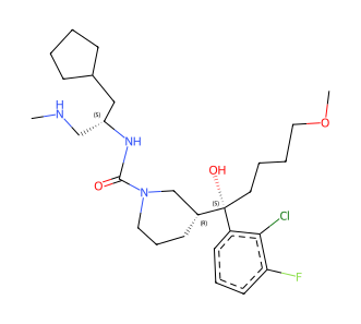 CNC[C@H](CC1CCCC1)NC(=O)N1CCC[C@@H]([C@@](O)(CCCCOC)c2cccc(F)c2Cl)C1